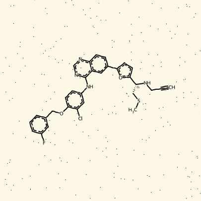 C#CCN[C@H](CSC)c1ccc(-c2ccc3ncnc(Nc4ccc(OCc5cccc(F)c5)c(Cl)c4)c3c2)o1